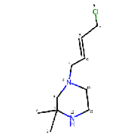 CC1(C)CN(C/C=C/CCl)CCN1